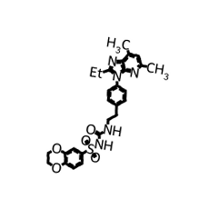 CCc1nc2c(C)cc(C)nc2n1-c1ccc(CCNC(=O)NS(=O)(=O)c2ccc3c(c2)OCCO3)cc1